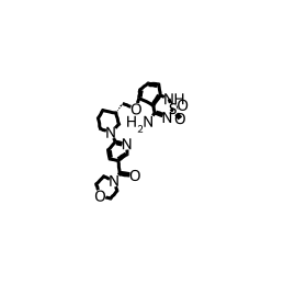 NC1=NS(=O)(=O)Nc2cccc(OC[C@H]3CCCN(c4ccc(C(=O)N5CCOCC5)cn4)C3)c21